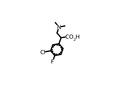 CN(C)CC(C(=O)O)c1ccc(F)c(Cl)c1